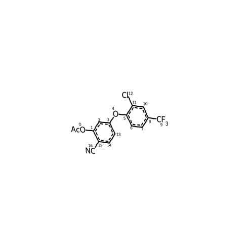 CC(=O)Oc1cc(Oc2ccc(C(F)(F)F)cc2Cl)ccc1C#N